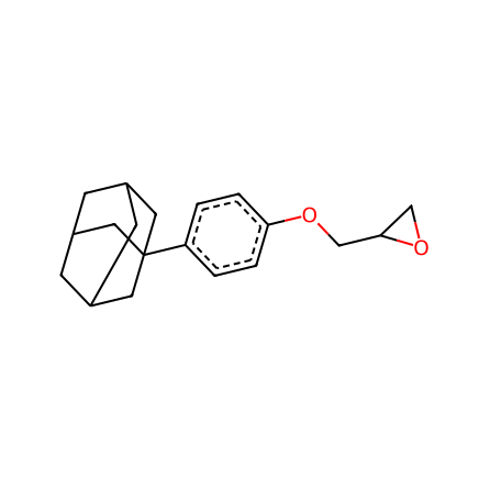 c1cc(C23CC4CC(CC(C4)C2)C3)ccc1OCC1CO1